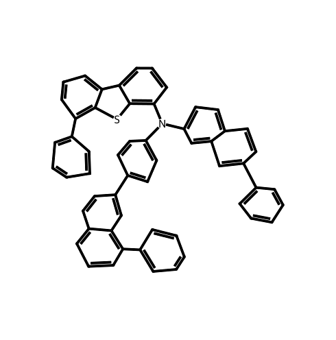 c1ccc(-c2ccc3ccc(N(c4ccc(-c5ccc6cccc(-c7ccccc7)c6c5)cc4)c4cccc5c4sc4c(-c6ccccc6)cccc45)cc3c2)cc1